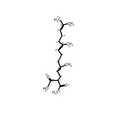 CC(=O)C(C/C=C(\C)CC/C=C(\C)CCC=C(C)C)C(=O)O